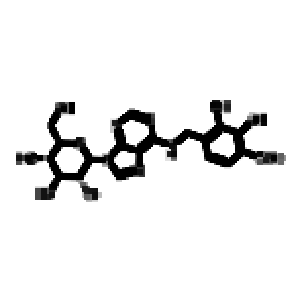 COc1ccc(CNc2ncnc3c2ncn3C2O[C@H](CO)[C@@H](O)[C@H](O)[C@H]2O)c(O)c1O